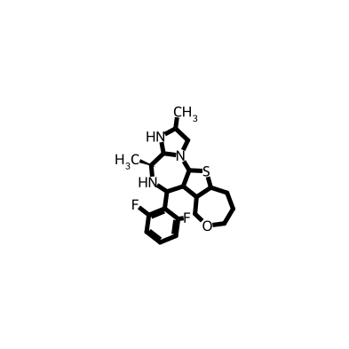 CC1CN2C3SC4CCCOCC4C3C(c3c(F)cccc3F)N[C@@H](C)C2N1